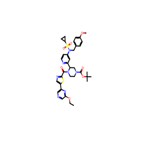 CCOc1cncc(-c2cnc(C(=O)N3CCN(C(=O)OC(C)(C)C)CC3c3cc(N(Cc4ccc(OC)cc4)S(=O)(=O)C4CC4)ccn3)s2)n1